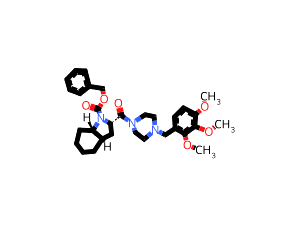 COc1ccc(CN2CCN(C(=O)[C@@H]3C[C@@H]4CCCC[C@@H]4N3C(=O)OCc3ccccc3)CC2)c(OC)c1OC